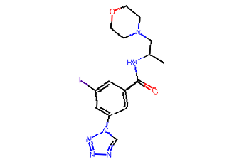 CC(CN1CCOCC1)NC(=O)c1cc(I)cc(-n2cnnn2)c1